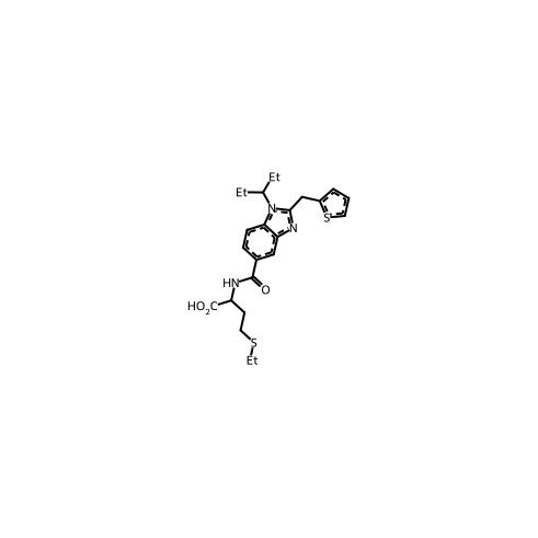 CCSCCC(NC(=O)c1ccc2c(c1)nc(Cc1cccs1)n2C(CC)CC)C(=O)O